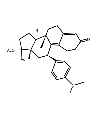 CC(=O)O[C@]1(C(C)=O)CC[C@]2(C)[C@]1(C)C[C@H](c1ccc(N(C)C)cc1)C1=C3CCC(=O)C=C3CC[C@]12C